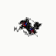 Cc1cccc(-c2cc(N(c3ccc(C(C)(C)C)cc3)c3cc4c(c5ccccc35)-c3ccc(N(c5ccc(C(C)(C)C)cc5)c5cc(-c6cccc([Si](c7ccccc7)(c7ccccc7)c7ccccc7)c6)cc6c5oc5ccccc56)cc3C43c4ccccc4-c4ccccc43)c3oc4ccccc4c3c2)c1